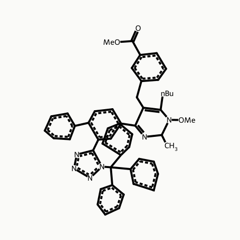 CCCCC1=C(Cc2cccc(C(=O)OC)c2)C(c2ccc(-c3ccccc3)c(-c3nnnn3C(c3ccccc3)(c3ccccc3)c3ccccc3)c2)=NC(C)N1OC